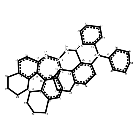 C[C@@H](Np1oc2ccc3c(c2c2c4c(ccc2o1)CCCC4)CCCC3)c1c(P(c2ccccc2)c2ccccc2)ccc2c1CCCC2